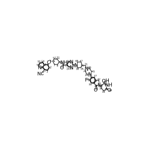 N#Cc1ccc(O[C@H]2CC[C@H](NC(=O)c3cnc(N4CCC(CN5CCN(c6cc7c(cc6F)C(=O)N([C@H]6CCC(=O)NC6O)C7)CC5)CC4)nc3)CC2)c2cccnc12